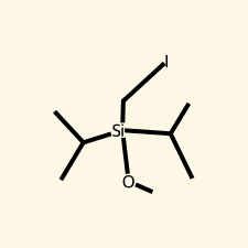 CO[Si](CI)(C(C)C)C(C)C